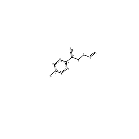 C=CCCC(=N)c1ccc(C)cc1